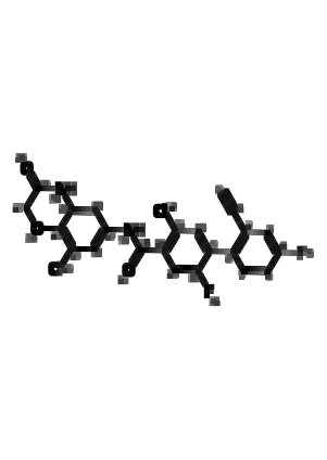 C#Cc1cc(F)ccc1-c1cc(Cl)c(C(=O)Nc2cc(Cl)c3c(c2)NC(=O)CO3)cc1F